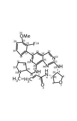 C=CC(=O)N[C@H]1COC[C@H]1Nc1ncc2cc(-c3cccc(OC)c3F)nc(NCC3CCCN3C)c2n1